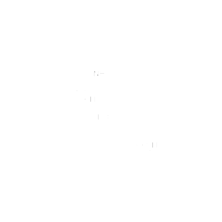 C/C(=C\c1ccc(C(=O)O)cc1)c1ccc2c(c1)C(C)(C)CCN2